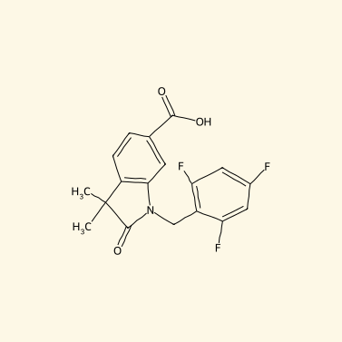 CC1(C)C(=O)N(Cc2c(F)cc(F)cc2F)c2cc(C(=O)O)ccc21